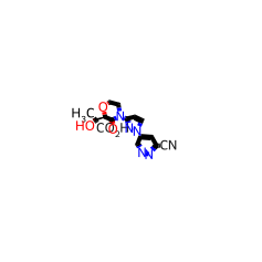 CC(O)(C(=O)O)[C@H]1OCCN(c2ccn(-c3cnnc(C#N)c3)n2)C1=O